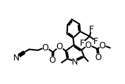 COC(=O)Oc1c(C)nc(C)c(OC(=O)OCCC#N)c1-c1ccccc1C(F)(F)F